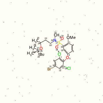 COc1ccc(Oc2c(Cl)cc(Br)cc2Cl)cc1S(=O)(=O)N(C)CCC(C)O[Si](C)(C)C(C)(C)C